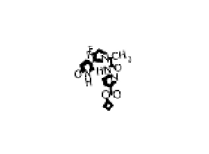 C[C@@H](C(=O)Nc1ccc(C(=O)OC2CCC2)cn1)N1CCC(F)(F)[C@@H](c2ccc(=O)[nH]c2)C1